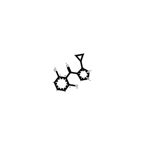 O=C(c1cnoc1C1CC1)c1c(Cl)cccc1Cl